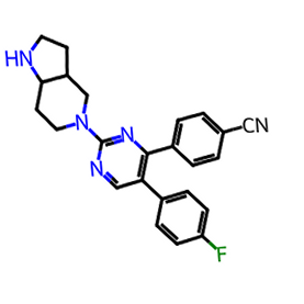 N#Cc1ccc(-c2nc(N3CCC4NCCC4C3)ncc2-c2ccc(F)cc2)cc1